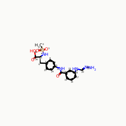 CS(=O)(=O)N[C@@H](Cc1ccc(NC(=O)c2cccc(NC=NN)c2)cc1)C(=O)O